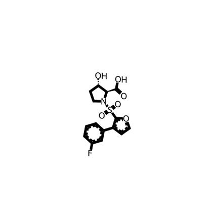 O=C(O)[C@@H]1[C@@H](O)CCN1S(=O)(=O)c1occc1-c1cccc(F)c1